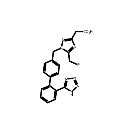 CC(C)Cc1nc(CC(=O)O)nn1Cc1ccc(-c2ccccc2-c2nnn[nH]2)cc1